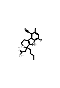 CCCCC1(CC(=O)O)OCCc2c1[nH]c1c(F)cc(C)c(C#N)c21